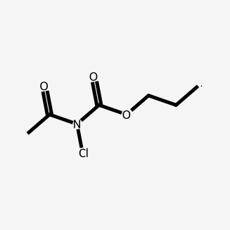 [CH2]CCOC(=O)N(Cl)C(C)=O